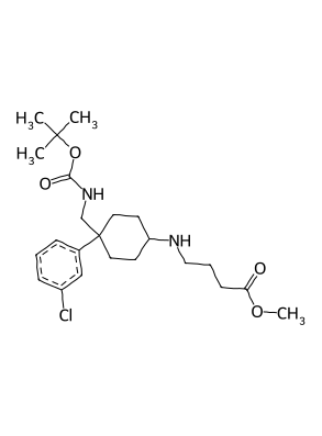 COC(=O)CCCNC1CCC(CNC(=O)OC(C)(C)C)(c2cccc(Cl)c2)CC1